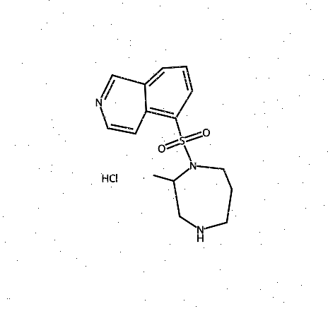 CC1CNCCCN1S(=O)(=O)c1cccc2cnccc12.Cl